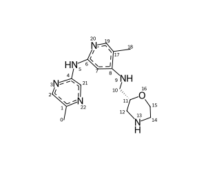 Cc1cnc(Nc2cc(NC[C@H]3CNCCO3)c(C)cn2)cn1